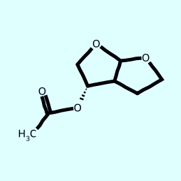 CC(=O)O[C@@H]1COC2OCCC21